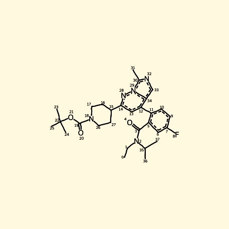 CCN(C(=O)c1cc(F)ccc1-c1cc(C2CCN(C(=O)OC(C)(C)C)CC2)nn2c(C)ncc12)C(C)C